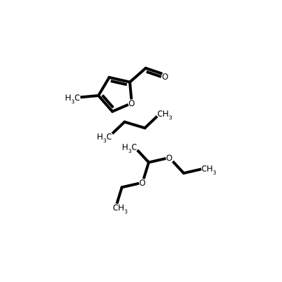 CCCC.CCOC(C)OCC.Cc1coc(C=O)c1